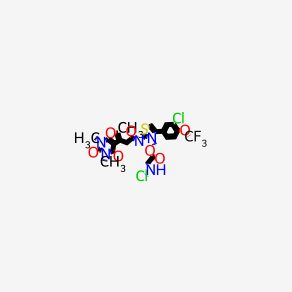 Cc1oc2c(c1CC(=O)/N=c1\scc(-c3ccc(OC(F)(F)F)c(Cl)c3)n1COC(=O)CNCl)c(=O)n(C)c(=O)n2C